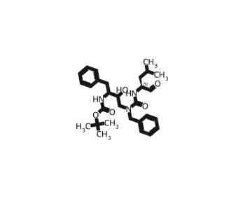 CC(C)C[C@@H]([C]=O)NC(=O)N(Cc1ccccc1)CC(O)C(Cc1ccccc1)NC(=O)OC(C)(C)C